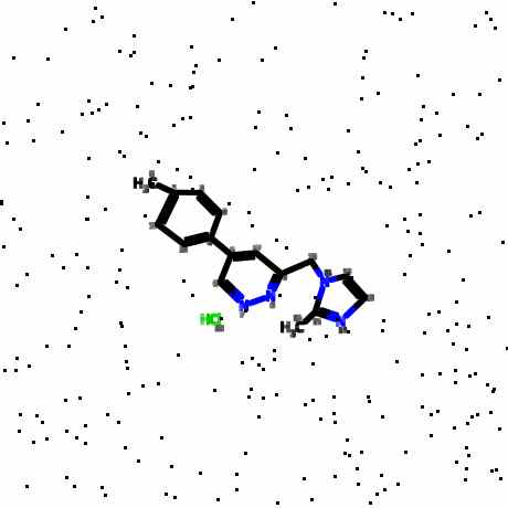 Cc1ccc(-c2cnnc(Cn3ccnc3C)c2)cc1.Cl